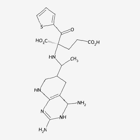 CC(N[C@@](CCC(=O)O)(C(=O)O)C(=O)c1cccs1)C1CNC2=C(C1)C(N)NC(N)=N2